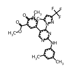 COC(=O)c1cc(-c2cnc(Nc3cc(C)cc(C)c3)nc2-n2nc(C(F)(F)F)cc2C)cn(C)c1=O